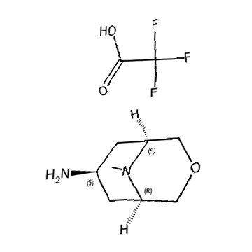 CN1[C@@H]2COC[C@H]1C[C@@H](N)C2.O=C(O)C(F)(F)F